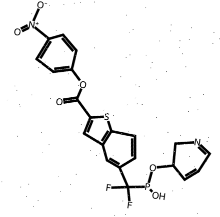 O=C(Oc1ccc([N+](=O)[O-])cc1)c1cc2cc(C(F)(F)P(O)OC3C=CC=NC3)ccc2s1